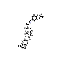 O=C(/C=C/c1ccc(OC(F)(F)F)cc1)N1CC=C2CN(Cc3ccc4[nH]nnc4c3)C[C@H]2CC1